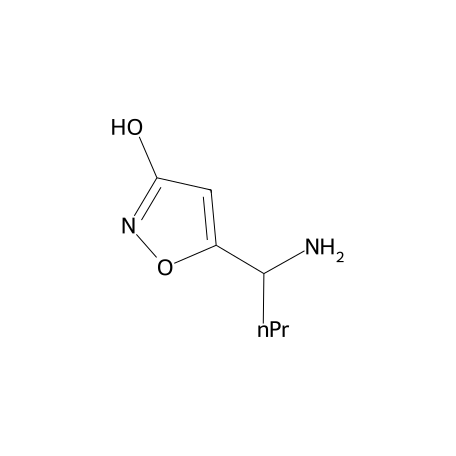 CCCC(N)c1cc(O)no1